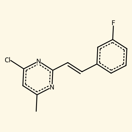 Cc1cc(Cl)nc(C=Cc2cccc(F)c2)n1